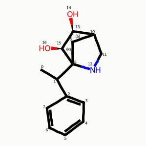 CC(c1ccccc1)C12CC(CN1)[C@H](O)[C@@H]2O